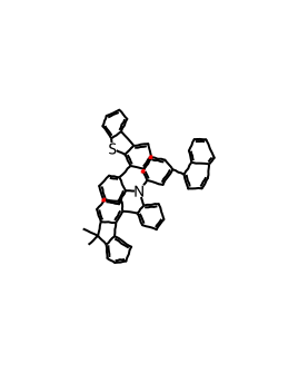 CC1(C)c2ccccc2-c2c(-c3ccccc3N(c3cccc(-c4cccc5ccccc45)c3)c3ccccc3-c3cccc4c3sc3ccccc34)cccc21